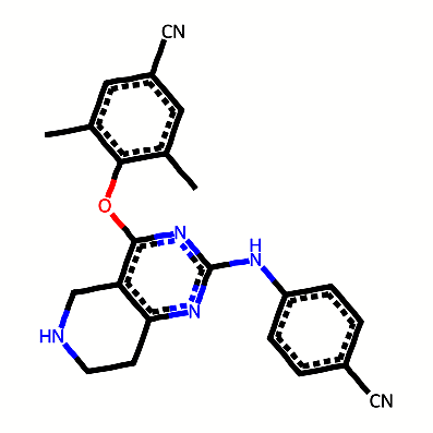 Cc1cc(C#N)cc(C)c1Oc1nc(Nc2ccc(C#N)cc2)nc2c1CNCC2